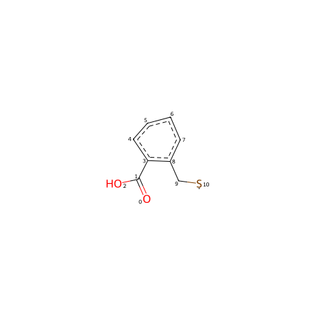 O=C(O)c1ccccc1C[S]